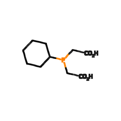 O=C(O)CP(CC(=O)O)C1CCCCC1